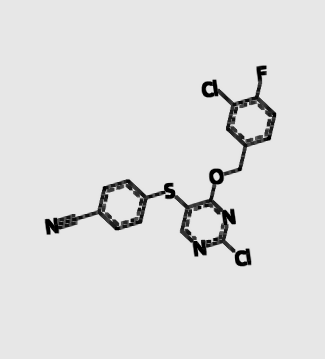 N#Cc1ccc(Sc2cnc(Cl)nc2OCc2ccc(F)c(Cl)c2)cc1